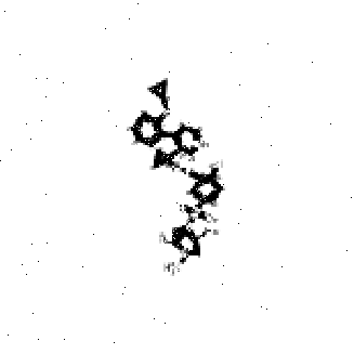 CN1C[C@@H]2C[C@H]1CN2S(=O)(=O)c1ccc(Cl)c(COC2(c3cnccc3-c3ccccc3OC3CC3)CC2)c1